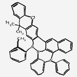 Cc1ccccc1N1B2c3ccccc3N(c3ccccc3)c3c2c(cc2ccccc32)-c2cc3c(cc21)C(C)(C)c1ccccc1O3